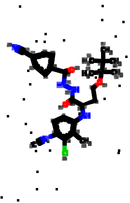 [C-]#[N+]c1ccc(N[C@H](CCO[Si](C)(C)C(C)(C)C)C(=O)NNC(=O)c2ccc(C#N)cc2)c(C)c1Cl